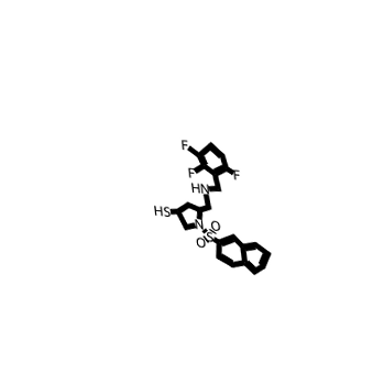 O=S(=O)(c1ccc2ccccc2c1)N1CC(S)CC1CNCc1c(F)ccc(F)c1F